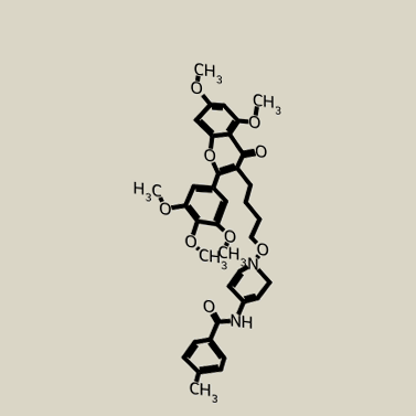 COc1cc(OC)c2c(=O)c(CCCCON3C=CC(NC(=O)c4ccc(C)cc4)=CC3)c(-c3cc(OC)c(OC)c(OC)c3)oc2c1